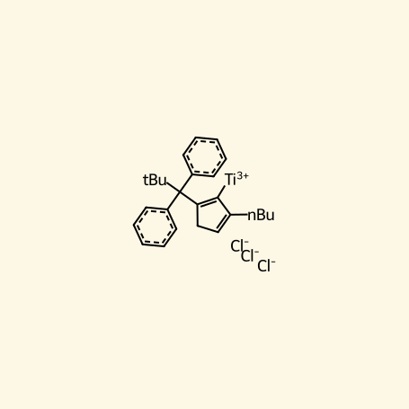 CCCCC1=CCC(C(c2ccccc2)(c2ccccc2)C(C)(C)C)=[C]1[Ti+3].[Cl-].[Cl-].[Cl-]